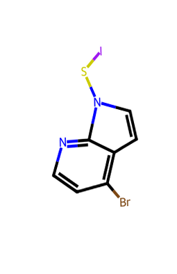 Brc1ccnc2c1ccn2SI